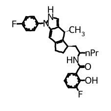 CCCC(C[C@H]1CCC2=C1[C@@H](C)C1=CNN(c3ccc(F)cc3)C1=C2)NC(=O)c1cccc(F)c1O